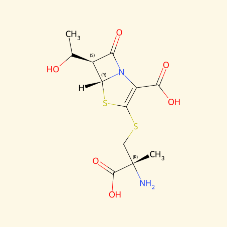 CC(O)[C@H]1C(=O)N2C(C(=O)O)=C(SC[C@](C)(N)C(=O)O)S[C@H]12